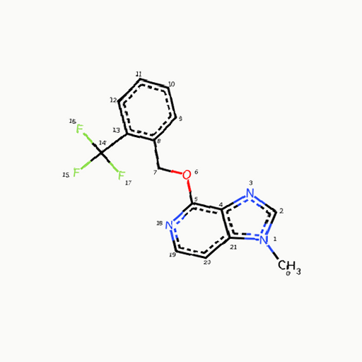 Cn1cnc2c(OCc3ccccc3C(F)(F)F)nccc21